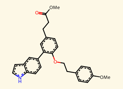 COC(=O)CCc1ccc(OCCc2ccc(OC)cc2)c(-c2ccc3[nH]ccc3c2)c1